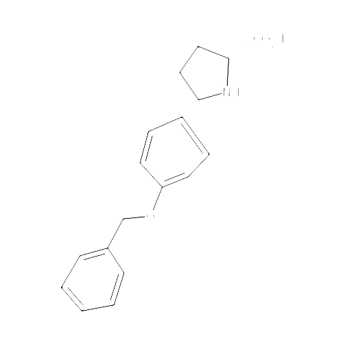 O=C(O)[C@H]1CC[C@@H](c2ccc(OCc3ccccc3)cc2)N1